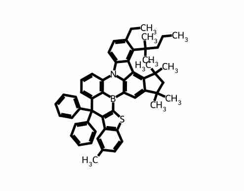 CCCC(C)(C)c1c(CC)ccc2c1c1c3c(cc4c1n2-c1cccc2c1B4c1sc4ccc(C)cc4c1C2(c1ccccc1)c1ccccc1)C(C)(C)CC3(C)C